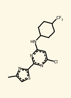 Cc1csc(-c2nc(Cl)cc(NC3CCC(C(F)(F)F)CC3)n2)n1